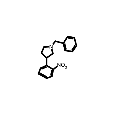 O=[N+]([O-])c1ccccc1C1CCN(Cc2ccccc2)C1